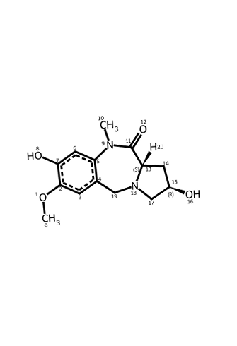 COc1cc2c(cc1O)N(C)C(=O)[C@@H]1C[C@@H](O)CN1C2